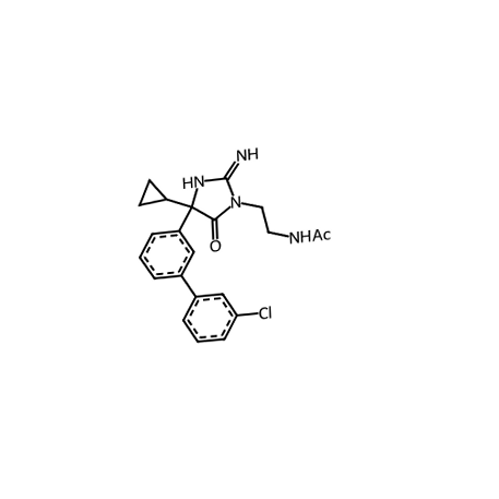 CC(=O)NCCN1C(=N)NC(c2cccc(-c3cccc(Cl)c3)c2)(C2CC2)C1=O